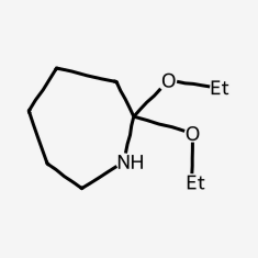 CCOC1(OCC)CCCCCN1